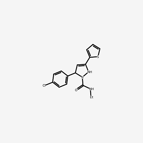 CCNC(=O)N1NC(c2cccs2)=CC1c1ccc(Cl)cc1